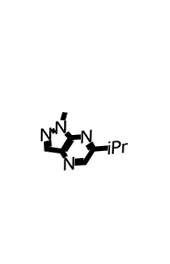 CC(C)c1cnc2cnn(C)c2n1